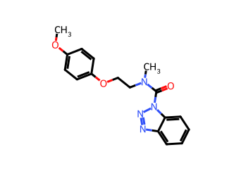 COc1ccc(OCCN(C)C(=O)n2nnc3ccccc32)cc1